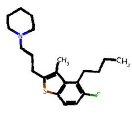 CCCCc1c(F)ccc2sc(CCCN3CCCCC3)c(C)c12